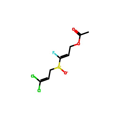 CC(=O)OC/C=C(\F)[S+]([O-])CC=C(Cl)Cl